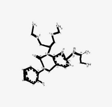 CCOCC(COCC)N1C(=O)N(c2ccccc2Cl)Cc2cnc(N[C@H](C)CO)nc21